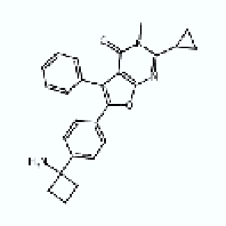 Cn1c(C2CC2)nc2oc(-c3ccc(C4(N)CCC4)cc3)c(-c3ccccc3)c2c1=O